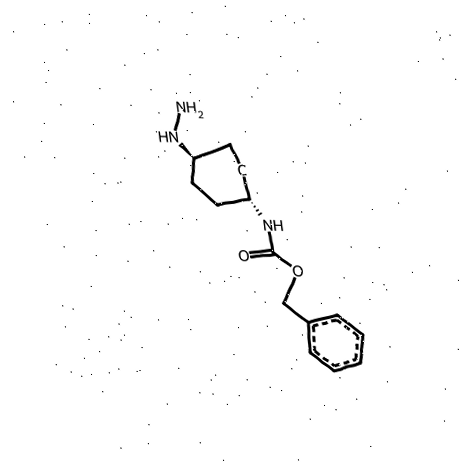 NN[C@H]1CC[C@H](NC(=O)OCc2ccccc2)CC1